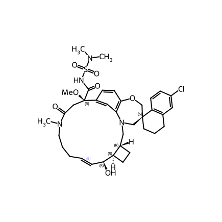 CO[C@]1(C(=O)NS(=O)(=O)N(C)C)CC(=O)N(C)CCC/C=C/[C@H](O)[C@@H]2CC[C@H]2CN2C[C@@]3(CCCc4cc(Cl)ccc43)COc3ccc1cc32